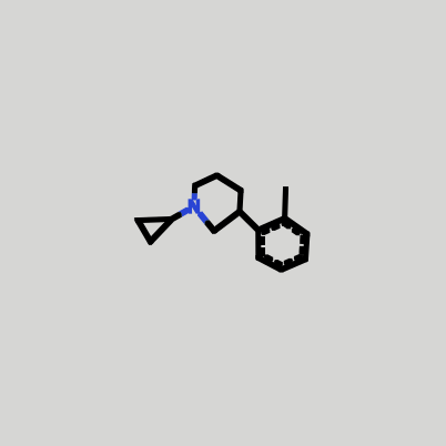 Cc1ccccc1C1CCCN(C2CC2)C1